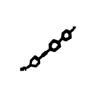 CCCC1CC=C(C#Cc2ccc(-c3ccc(F)cc3)cc2)CC1